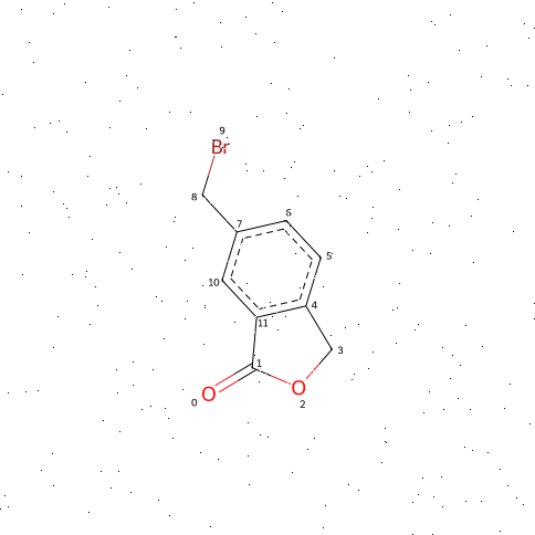 O=C1OCc2ccc(CBr)cc21